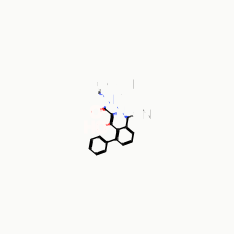 N#Cc1nc(C(=O)NCC(=O)O)c(O)c2c(-c3ccccc3)cccc12